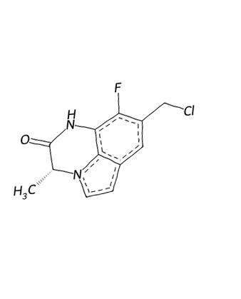 C[C@@H]1C(=O)Nc2c(F)c(CCl)cc3ccn1c23